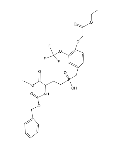 CCOC(=O)COc1ccc(CP(=O)(O)CCC(NC(=O)OCc2ccccc2)C(=O)OC)cc1OC(F)(F)F